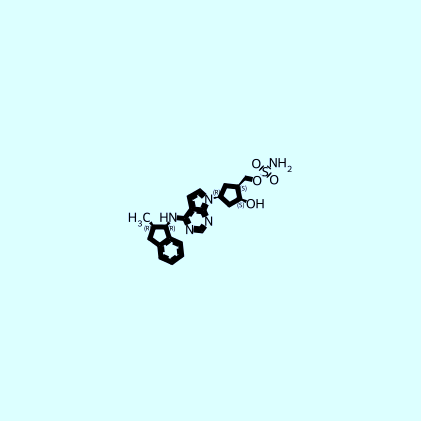 C[C@@H]1Cc2ccccc2[C@@H]1Nc1ncnc2c1ccn2[C@@H]1C[C@@H](COS(N)(=O)=O)[C@@H](O)C1